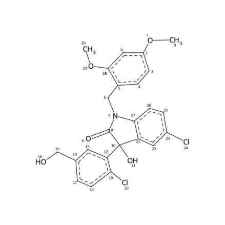 COc1ccc(CN2C(=O)C(O)(c3cc(CO)ccc3Cl)c3cc(Cl)ccc32)c(OC)c1